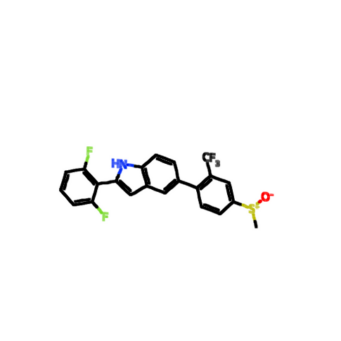 C[S+]([O-])c1ccc(-c2ccc3[nH]c(-c4c(F)cccc4F)cc3c2)c(C(F)(F)F)c1